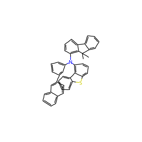 CC1(C)c2ccccc2-c2cccc(N(c3cccc(-c4ccc5ccccc5c4)c3)c3cccc4sc5ccccc5c34)c21